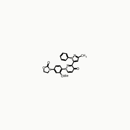 COc1cc(N2CCOC2=O)ccc1-n1ccc(=O)c(-c2cc(C)nn2-c2ccccc2)n1